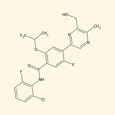 Cc1ncc(-c2cc(OC(C)C(F)(F)F)c(C(=O)Nc3c(F)cccc3Cl)cc2F)nc1CO